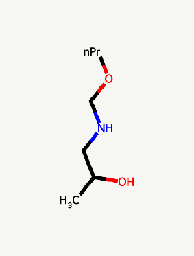 CCCOCNCC(C)O